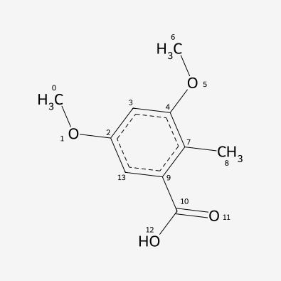 COc1cc(OC)c(C)c(C(=O)O)c1